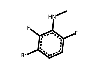 CNc1c(F)ccc(Br)c1F